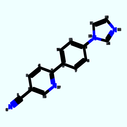 N#Cc1ccc(-c2ccc(-n3ccnc3)cc2)nc1